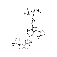 C[Si](C)(C)CCOCn1cc(N2CCCC2=O)c2cc(-c3cc4n(n3)CCC43CCN(C(=O)O)C3)cnc21